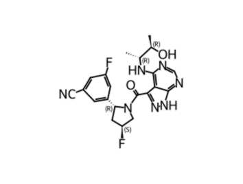 C[C@@H](O)[C@@H](C)Nc1ncnc2[nH]nc(C(=O)N3C[C@@H](F)C[C@@H]3c3cc(F)cc(C#N)c3)c12